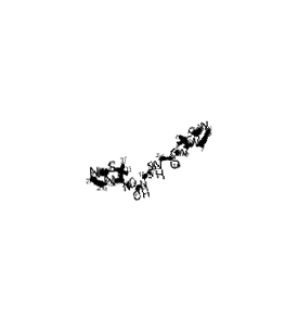 CC1(C)Sc2nccn2C1=NOC(=O)CNSSCNC(=O)ON=C1n2ccnc2SC1(C)C